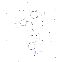 Cn1cc(/C(=C/C=C/C(=O)Nc2cccc3c2CC(O)C(=O)N3)c2ccc(C(F)(F)F)cc2)ccc1=O